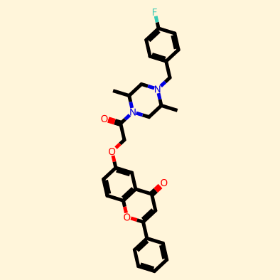 CC1CN(C(=O)COc2ccc3oc(-c4ccccc4)cc(=O)c3c2)C(C)CN1Cc1ccc(F)cc1